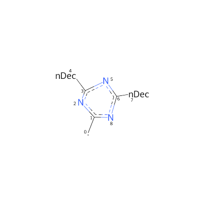 [CH2]c1nc(CCCCCCCCCC)nc(CCCCCCCCCC)n1